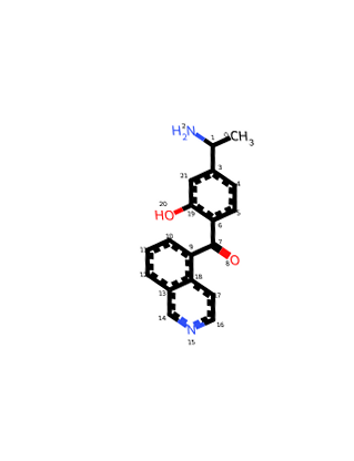 CC(N)c1ccc(C(=O)c2cccc3cnccc23)c(O)c1